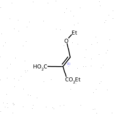 CCO/C=C(\C(=O)O)C(=O)OCC